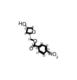 O=C(OC[C@@H]1C[C@H](O)CO1)c1ccc([N+](=O)[O-])cc1